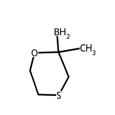 BC1(C)CSCCO1